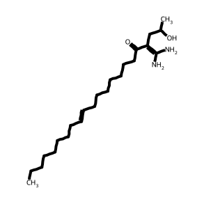 CCCCCCCCC=CCCCCCCCC(=O)C(CC(C)O)=C(N)N